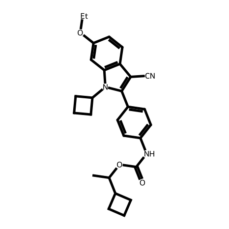 CCOc1ccc2c(C#N)c(-c3ccc(NC(=O)OC(C)C4CCC4)cc3)n(C3CCC3)c2c1